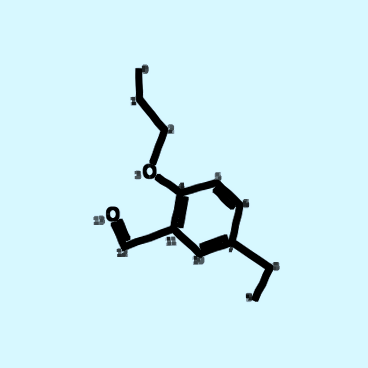 CCCOc1ccc(CC)cc1C=O